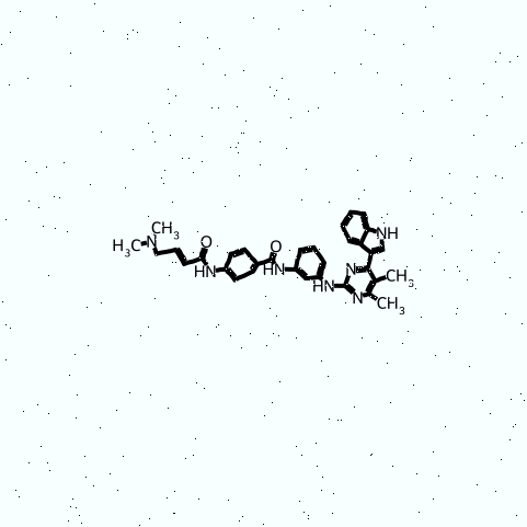 Cc1nc(Nc2cccc(NC(=O)c3ccc(NC(=O)/C=C/CN(C)C)cc3)c2)nc(-c2c[nH]c3ccccc23)c1C